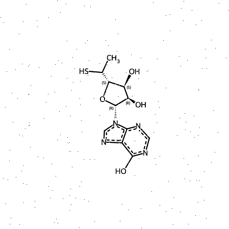 CC(S)[C@H]1O[C@@H](n2cnc3c(O)ncnc32)[C@H](O)[C@@H]1O